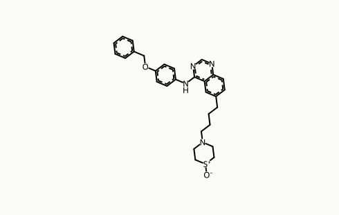 [O-][S+]1CCN(CCCCc2ccc3ncnc(Nc4ccc(OCc5ccccc5)cc4)c3c2)CC1